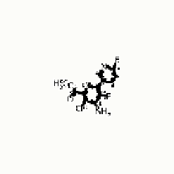 COC(=O)c1nc(-c2ccc(F)nc2)c(F)c(N)c1Cl